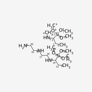 CCC(NC)[Si](OC)(OC)OC.CCC(NCCNCCN)[Si](OC)(OC)OC